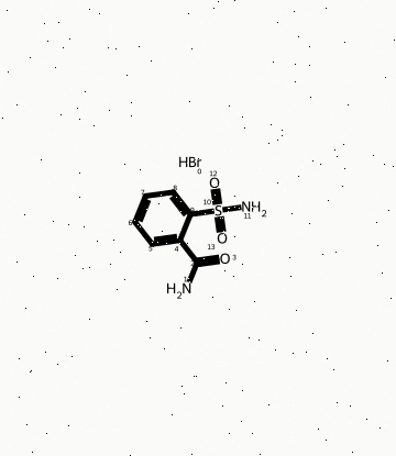 Br.NC(=O)c1ccccc1S(N)(=O)=O